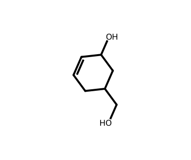 OCC1CC=CC(O)C1